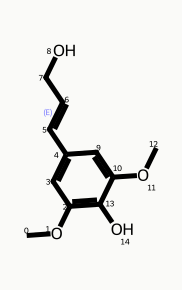 COc1cc(/C=C/CO)cc(OC)c1O